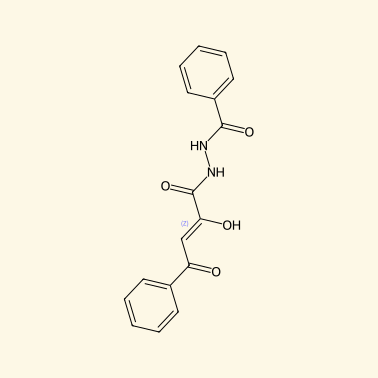 O=C(NNC(=O)c1ccccc1)/C(O)=C/C(=O)c1ccccc1